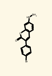 NNc1ccc2cc(-c3ccc(Br)cc3)c(=O)oc2c1